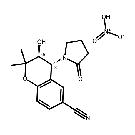 CC1(C)Oc2ccc(C#N)cc2[C@@H](N2CCCC2=O)[C@@H]1O.O=[N+]([O-])O